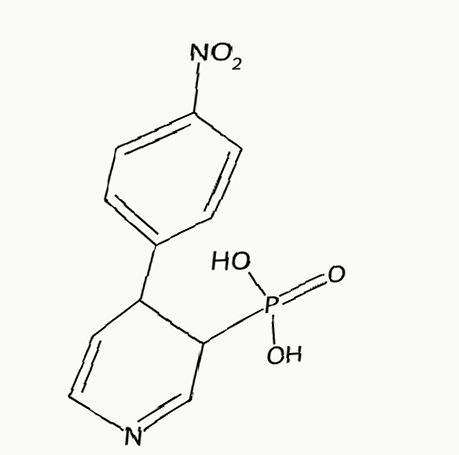 O=[N+]([O-])c1ccc(C2C=CN=CC2P(=O)(O)O)cc1